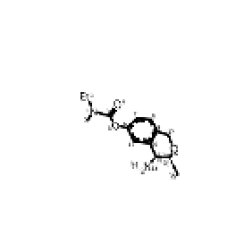 CCN(C)C(=O)Oc1ccc2c(c1)[C@H](N)[C@H](C)OC2